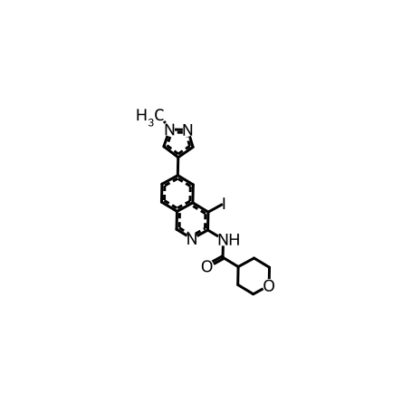 Cn1cc(-c2ccc3cnc(NC(=O)C4CCOCC4)c(I)c3c2)cn1